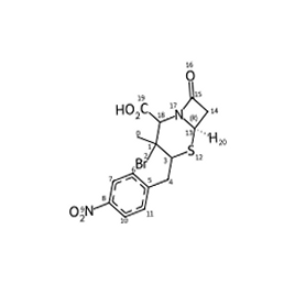 CC1(Br)C(Cc2ccc([N+](=O)[O-])cc2)S[C@@H]2CC(=O)N2C1C(=O)O